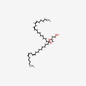 CCCCC/C=C\C/C=C\CCCCCCCCC1(CCCCCCCC/C=C\C/C=C\CCCCC)OC[C@H](CCO)O1